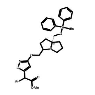 COC(=O)C(c1cc(OCC2CC[C@@]3(CO[Si](c4ccccc4)(c4ccccc4)C(C)(C)C)CCCN23)no1)C(C)C